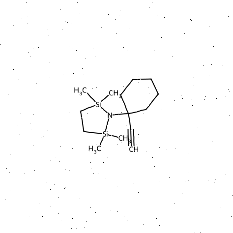 C#CC1(N2[Si](C)(C)CC[Si]2(C)C)CCCCC1